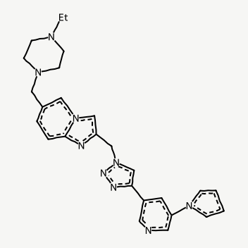 CCN1CCN(Cc2ccc3nc(Cn4cc(-c5cncc(-n6cccc6)c5)nn4)cn3c2)CC1